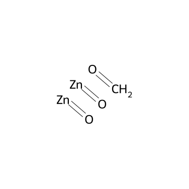 C=O.[O]=[Zn].[O]=[Zn]